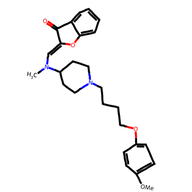 COc1ccc(OCCCCN2CCC(N(C)C=C3Oc4ccccc4C3=O)CC2)cc1